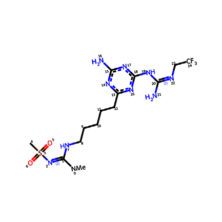 CN/C(=N/S(C)(=O)=O)NCCCCCc1nc(N)nc(N/C(N)=N\CC(F)(F)F)n1